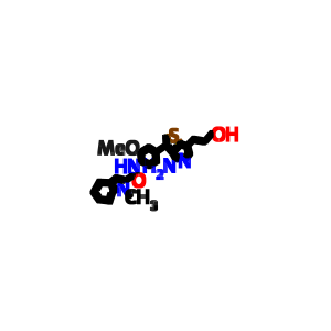 COc1cc(-c2csc3c(C=CCO)cnc(N)c23)ccc1NC(=O)c1cc2ccccc2n1C